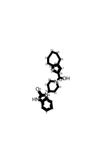 O=c1[nH]c2ccccc2n1C1CCN(C(O)c2cc3c(s2)CCCCC3)CC1